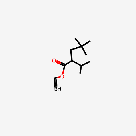 B=COC(=O)C(CC(C)(C)C)C(C)C